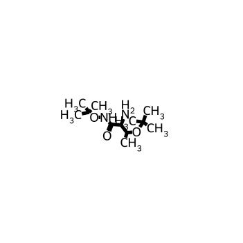 CC(OC(C)(C)C)C(N)C(=O)NOC(C)(C)C